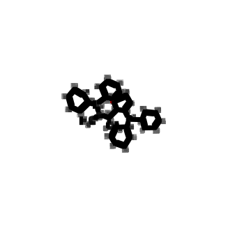 C[C@@H](C1C=CC=C1P(c1ccccc1)c1ccccc1)N(C)P(c1ccccc1)c1ccccc1